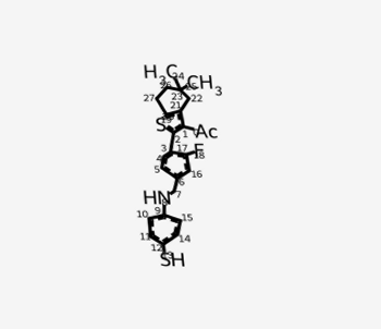 CC(=O)c1c(-c2ccc(CNc3ccc(S)cc3)cc2F)sc2c1CC(C)(C)CC2